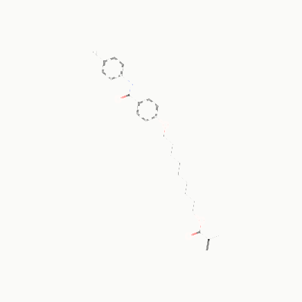 C=C(C)C(=O)OCCCCCCCCCOc1ccc(C(=O)Nc2ccc([N+](=O)[O-])cc2)cc1